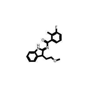 COCCC1C(=NC(=O)c2cccc(F)c2C)Nc2ccccc21